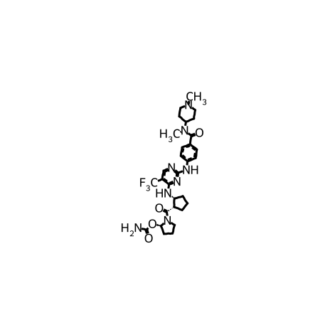 CN1CCC(N(C)C(=O)c2ccc(Nc3ncc(C(F)(F)F)c(N[C@@H]4CCC[C@@H]4C(=O)N4CCC[C@H]4OC(N)=O)n3)cc2)CC1